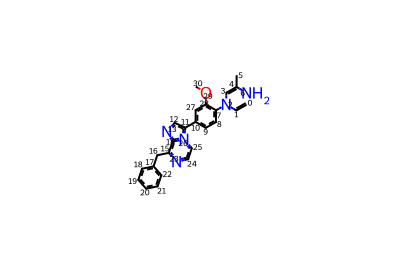 C=CN(/C=C(/C)N)c1ccc(-c2cnc3c(Cc4ccccc4)nccn23)cc1OC